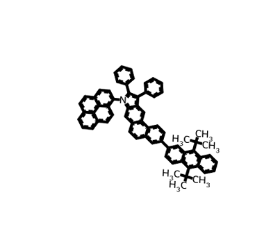 CC(C)(C)c1c2ccccc2c(C(C)(C)C)c2cc(-c3ccc4c(ccc5cc6c(cc54)c(-c4ccccc4)c(-c4ccccc4)n6-c4ccc5ccc6cccc7ccc4c5c67)c3)ccc12